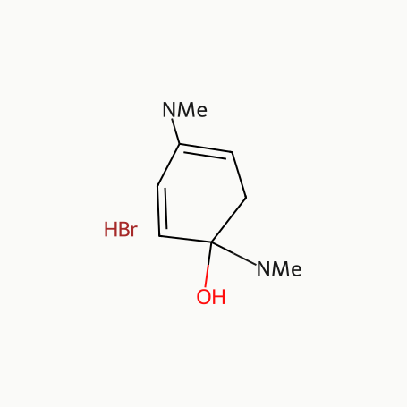 Br.CNC1=CCC(O)(NC)C=C1